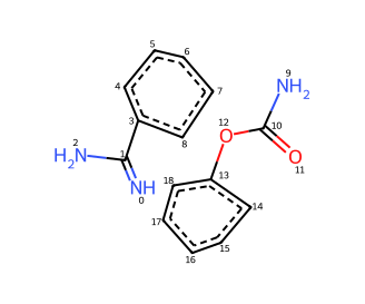 N=C(N)c1ccccc1.NC(=O)Oc1ccccc1